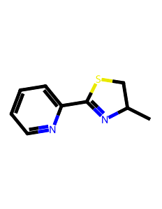 CC1CSC(c2ccccn2)=N1